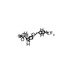 CC1(C(=O)Nc2c[nH]c3ccc(OCCC4C[C@@H]5CN(CC(F)(F)F)C[C@@H]5C4)cc23)COC1